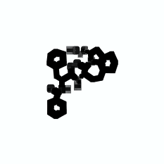 O=C(N[C@@H](Cc1ccccc1)C(=O)N[C@H]1CCc2cccc3c2N(C1=O)[C@H](C(=O)O)C3)c1ccccc1